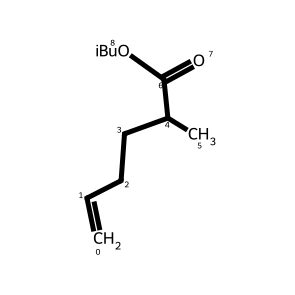 C=CCCC(C)C(=O)OCC(C)C